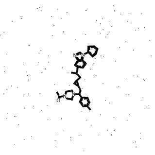 CC(=O)N1CCN(C(CC2CC2CC(C)c2ccc3c(c2)ncn3-c2ccccc2)c2ccc(C)cc2)CC1